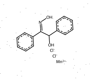 ON=C(c1ccccc1)C(O)c1ccccc1.[Cl-].[Cl-].[Mn+2]